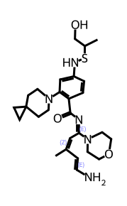 CC(=C/C(=N\C(=O)c1ccc(NSC(C)CO)cc1N1CCC2(CC1)CC2)N1CCOCC1)/C=C/N